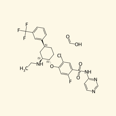 CCN[C@H]1C[C@@H](c2cccc(C(F)(F)F)c2)CC[C@@H]1Oc1cc(F)c(S(=O)(=O)Nc2ccncn2)cc1Cl.O=CO